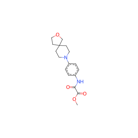 COC(=O)C(=O)Nc1ccc(N2CCC3(CCOC3)CC2)cc1